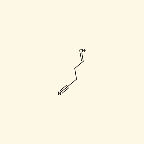 [CH]=CCCC#N